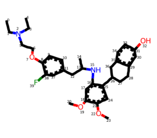 CCN(CC)CCOc1ccc(CC(C)Nc2cc(OC)c(OC)cc2C2CCc3cc(O)ccc3C2)cc1F